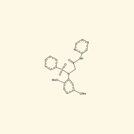 COc1ccc(OC)c(N(CC(=O)Nc2cnccn2)S(=O)(=O)c2ccccc2)c1